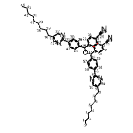 CCCCCCCCCc1cnc(-c2ccc(C(OC(c3ccc(C#N)cc3)c3ccc(-c4ncc(CCCCCCCCC)cn4)cc3)c3ccc(C#N)cc3)cc2)nc1